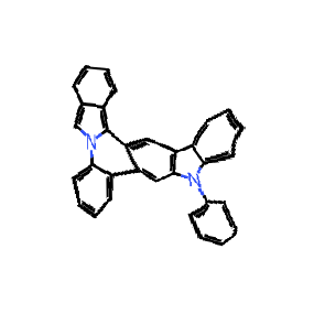 c1ccc(-n2c3ccccc3c3cc4c(cc32)c2ccccc2n2cc3ccccc3c42)cc1